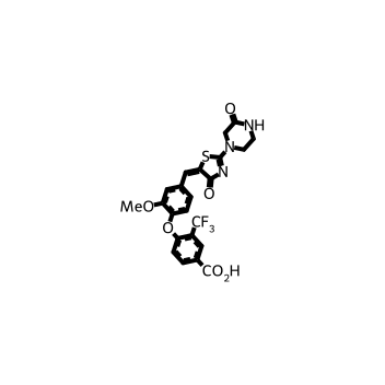 COc1cc(/C=C2/SC(N3CCNC(=O)C3)=NC2=O)ccc1Oc1ccc(C(=O)O)cc1C(F)(F)F